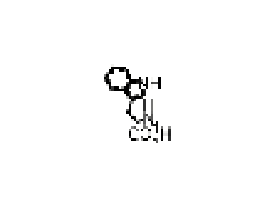 O=C(O)[C@@H](Cc1c[nH]c2ccccc12)NI